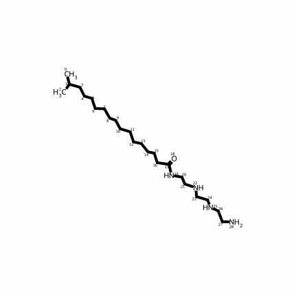 CC(C)CCCCCCCCCCCCCCC(=O)NCCNCCNCCN